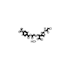 Cl.O=C(CCl)Nc1nc(C(=NOCC(=O)OC(=O)c2ccc([N+](=O)[O-])cc2)C(=O)Cl)cs1